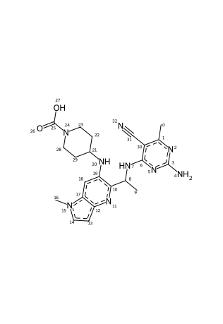 Cc1nc(N)nc(NC(C)c2nc3ccn(C)c3cc2NC2CCN(C(=O)O)CC2)c1C#N